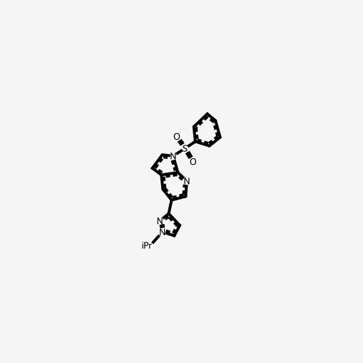 CC(C)n1ccc(-c2cnc3c(ccn3S(=O)(=O)c3ccccc3)c2)n1